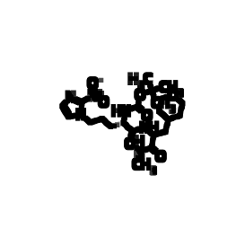 CNC(=O)[C@H](CC1CCOCC1)NC(=O)[C@H](CCCn1ccnc1[N+](=O)[O-])NC(=O)OC(C)(C)C